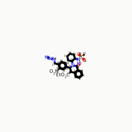 CCOC(=O)C1c2ccccc2C(=O)N(C2CCCCC2NS(C)(=O)=O)C1c1ccc(CN=[N+]=[N-])c([N+](=O)[O-])c1